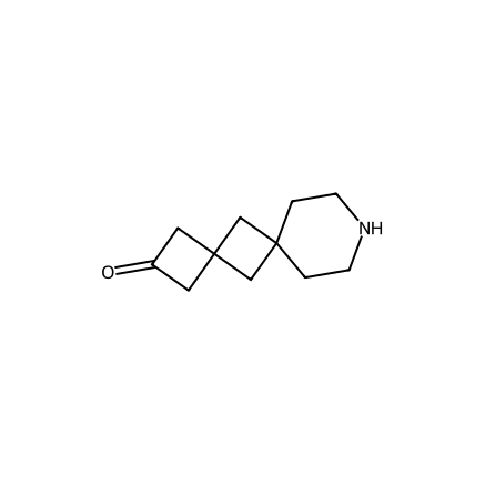 O=C1CC2(C1)CC1(CCNCC1)C2